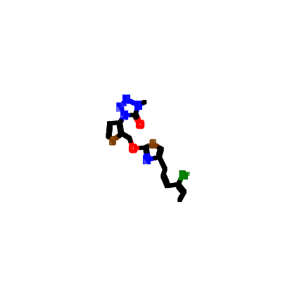 C/C=C(Br)\C=C/Cc1csc(OCc2sccc2-n2nnn(C)c2=O)n1